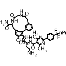 CCCC(F)(F)c1ccc(-c2nc(C)c(C(=O)N[C@@H](CCN)C(=O)Nc3c(C)cc4cc3-c3cccc(c3)CC(=O)NCC(=O)NC(C(N)=O)C4)c(C)n2)cc1